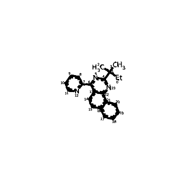 CCC(C)(C)c1nc(-c2ccccn2)c2ccc3ccccc3c2n1